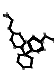 CCCC1CCN(C2(c3ccc(OC)cc3)CCCCC2)CC1